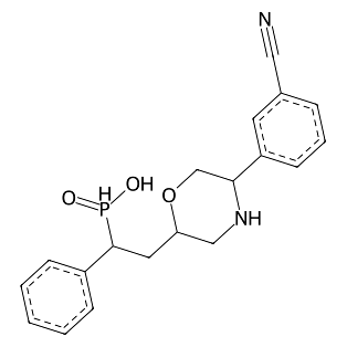 N#Cc1cccc(C2COC(CC(c3ccccc3)[PH](=O)O)CN2)c1